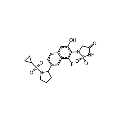 O=C1CN(c2c(O)cc3ccc(C4CCCN4S(=O)(=O)C4CC4)cc3c2F)S(=O)(=O)N1